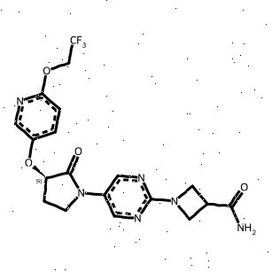 NC(=O)C1CN(c2ncc(N3CC[C@@H](Oc4ccc(OCC(F)(F)F)nc4)C3=O)cn2)C1